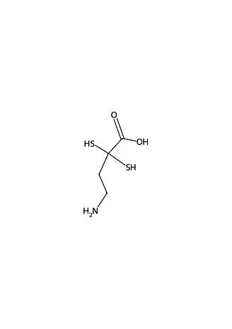 NCCC(S)(S)C(=O)O